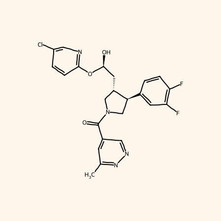 Cc1cc(C(=O)N2C[C@H](C[C@H](O)Oc3ccc(Cl)cn3)[C@@H](c3ccc(F)c(F)c3)C2)cnn1